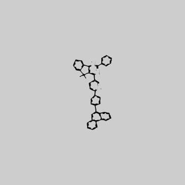 CC1(C)c2ccccc2-c2nc(-c3ccccc3)nc(-c3ccc(-c4ccc(-c5cc6ccccc6c6ccccc56)cc4)nc3)c21